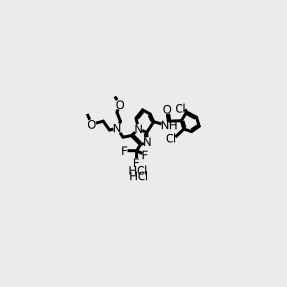 COCCN(CCOC)Cc1c(C(F)(F)F)nc2c(NC(=O)c3c(Cl)cccc3Cl)cccn12.Cl.Cl